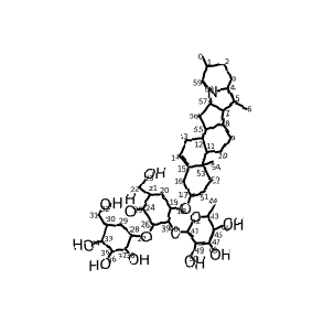 CC1CCC2C(C)C3C4CCC5C(CC=C6CC(OC7CC(CO)C(O)C(OC8CC(CO)C(O)C(O)C8O)C7OC7OC(C)C(O)C(O)C7O)CCC65C)C4CC3N2C1